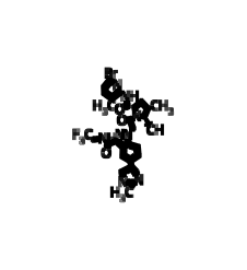 C#C[C@@H]1[C@@H](C)C[C@@H](C(=O)Nc2nc(Br)ccc2C)N1C(=O)Cn1nc(C(=O)NCC(F)(F)F)c2cc(-c3cnc(C)nc3)ccc21